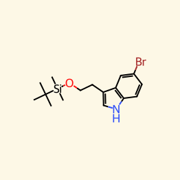 CC(C)(C)[Si](C)(C)OCCc1c[nH]c2ccc(Br)cc12